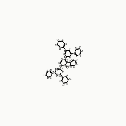 c1ccc(-c2cc(-c3ccccc3)cc(-c3ccc(-c4nc(-c5ccccc5)nc(-c5ccccc5)n4)c4oc5ccccc5c34)c2)cc1